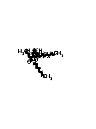 CCCCCCCCOC(=O)C(CCCC)=C(CC(C)(C)C)C(=O)OCCCCCCCC